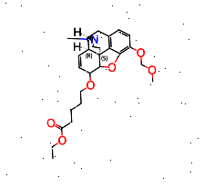 CCOC(=O)CCCCOC1C=C[C@H]2[C@H]3Cc4ccc(OCOC)c5c4[C@@]2(CCN3C)C1O5